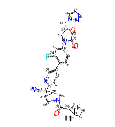 N#CC1(c2ccc(-c3ccc(N4C[C@H](Cn5ccnn5)OC4=O)cc3F)cn2)C2CN(C(=O)[C@H]3CN4CC[C@@H]3C4)CC21